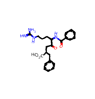 N=C(N)NCCCC(NC(=O)c1ccccc1)C(=O)CC(Cc1ccccc1)C(=O)O